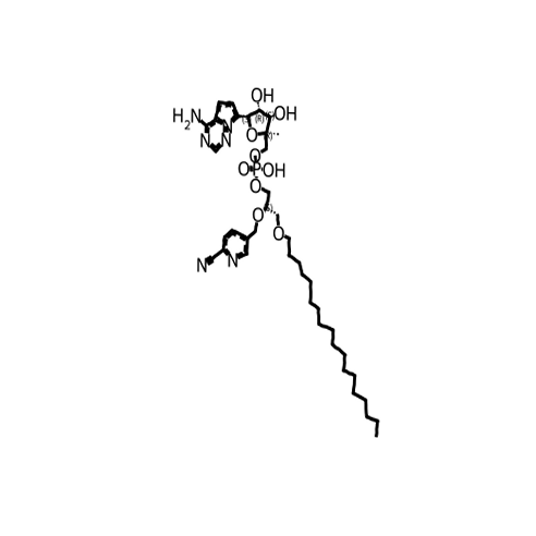 CCCCCCCCCCCCCCCCCCOC[C@@H](COP(=O)(O)OC[C@@]1(C)O[C@@H](c2ccc3c(N)ncnn23)[C@H](O)[C@@H]1O)OCc1ccc(C#N)nc1